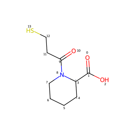 O=C(O)[C]1[CH]CCCN1C(=O)CCS